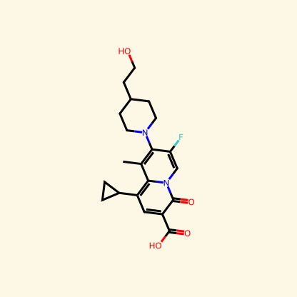 Cc1c(N2CCC(CCO)CC2)c(F)cn2c(=O)c(C(=O)O)cc(C3CC3)c12